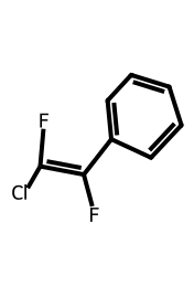 F/C(Cl)=C(/F)c1ccccc1